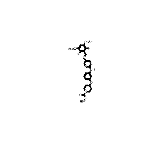 COc1cc(OC)c(F)c(COc2cnc(Nc3cccc(OC4CCN(C(=O)OC(C)(C)C)CC4)c3)nc2)c1F